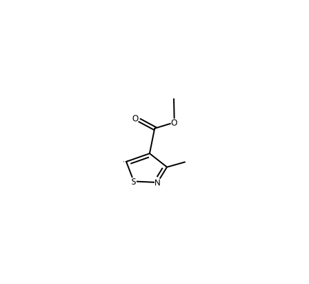 COC(=O)c1[c]snc1C